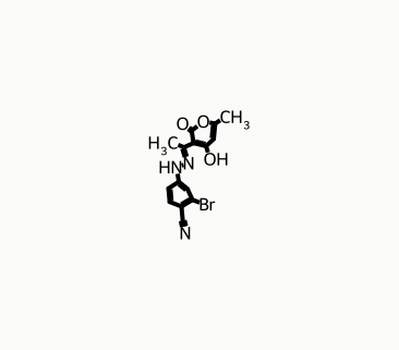 C/C(=N\Nc1ccc(C#N)c(Br)c1)c1c(O)cc(C)oc1=O